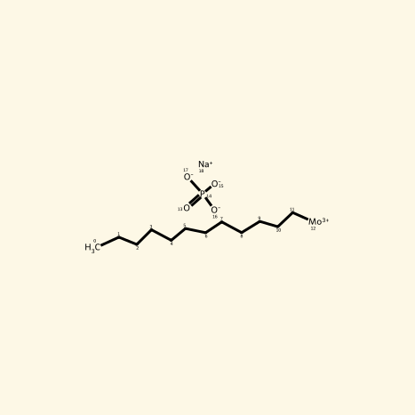 CCCCCCCCCCC[CH2][Mo+3].O=P([O-])([O-])[O-].[Na+]